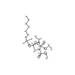 CCCCCCCC(C)(C)OC(=O)CC(C(=O)OC)P(=O)(OCC)OCC